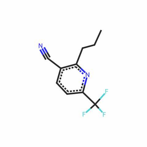 CCCc1nc(C(F)(F)F)ccc1C#N